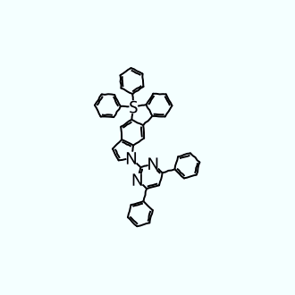 c1ccc(-c2cc(-c3ccccc3)nc(-n3ccc4cc5c(cc43)-c3ccccc3S5(c3ccccc3)c3ccccc3)n2)cc1